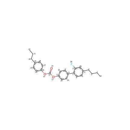 CCCCc1ccc(-c2ccc(OC(=O)Oc3ccc(CCC)cc3)cc2)c(F)c1